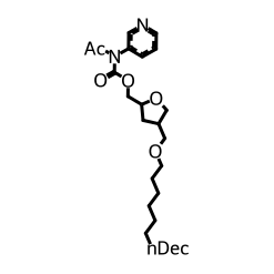 CCCCCCCCCCCCCCCCOCC1COC(COC(=O)N(C(C)=O)c2cccnc2)C1